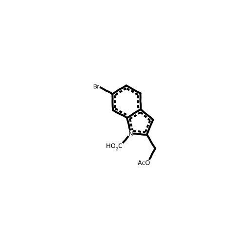 CC(=O)OCc1cc2ccc(Br)cc2n1C(=O)O